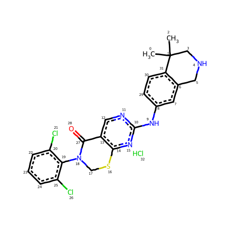 CC1(C)CNCc2cc(Nc3ncc4c(n3)SCN(c3c(Cl)cccc3Cl)C4=O)ccc21.Cl